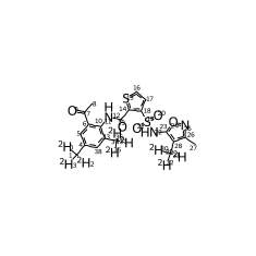 [2H]C([2H])([2H])c1cc(C(C)=O)c(NC(=O)c2sccc2S(=O)(=O)Nc2onc(C)c2C([2H])([2H])[2H])c(C([2H])([2H])[2H])c1